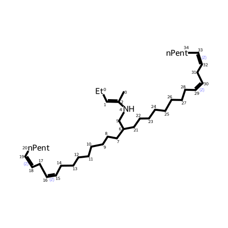 CCC=C(C)NCC(CCCCCCCC/C=C\C/C=C\CCCCC)CCCCCCCC/C=C\C/C=C\CCCCC